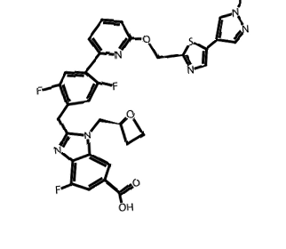 Cn1cc(-c2cnc(COc3cccc(-c4cc(F)c(Cc5nc6c(F)cc(C(=O)O)cc6n5C[C@@H]5CCO5)cc4F)n3)s2)cn1